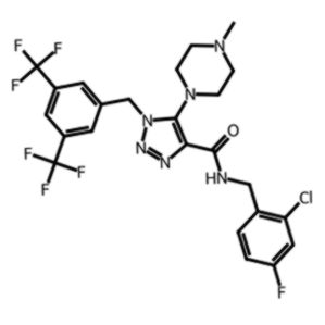 CN1CCN(c2c(C(=O)NCc3ccc(F)cc3Cl)nnn2Cc2cc(C(F)(F)F)cc(C(F)(F)F)c2)CC1